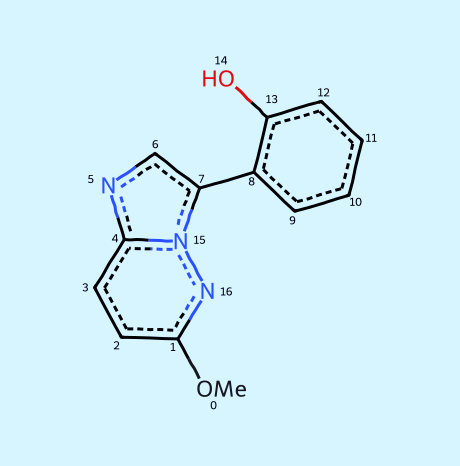 COc1ccc2ncc(-c3ccccc3O)n2n1